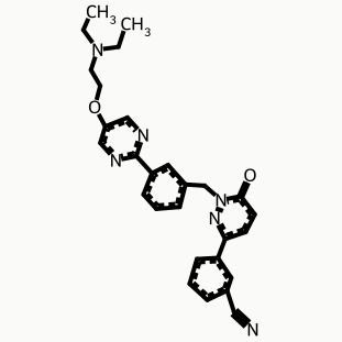 CCN(CC)CCOc1cnc(-c2cccc(Cn3nc(-c4cccc(C#N)c4)ccc3=O)c2)nc1